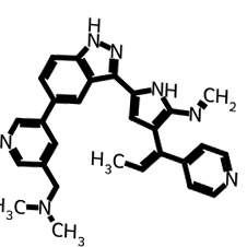 C=Nc1[nH]c(-c2n[nH]c3ccc(-c4cncc(CN(C)C)c4)cc23)cc1/C(=C\C)c1ccncc1